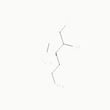 CC(=O)O.CCCCCCCCCCC(O)CO.[NaH]